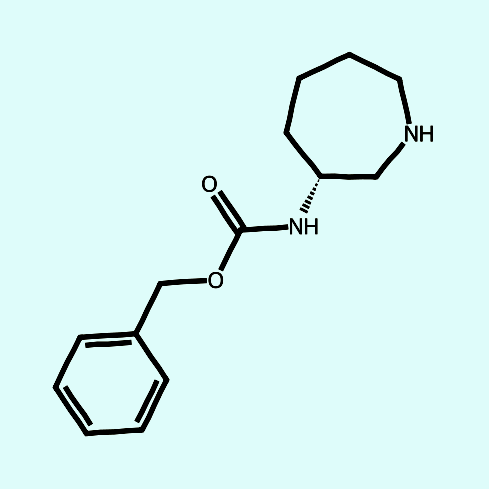 O=C(N[C@@H]1CCCCNC1)OCc1ccccc1